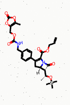 C=CCOC(=O)C1=C(c2ccc(CNC(=O)OCc3oc(=O)oc3C)cc2)C[C@@H]2[C@@H]([C@@H](C)O[Si](C)(C)C)C(=O)N12